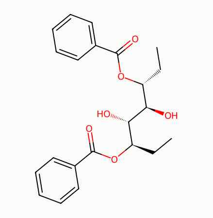 CC[C@@H](OC(=O)c1ccccc1)[C@H](O)[C@H](O)[C@@H](CC)OC(=O)c1ccccc1